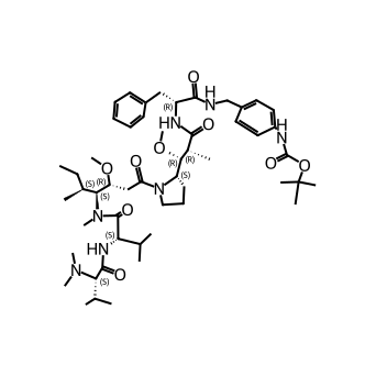 CC[C@H](C)[C@@H]([C@@H](CC(=O)N1CCC[C@H]1[C@H](OC)[C@@H](C)C(=O)N[C@H](Cc1ccccc1)C(=O)NCc1ccc(NC(=O)OC(C)(C)C)cc1)OC)N(C)C(=O)[C@@H](NC(=O)[C@H](C(C)C)N(C)C)C(C)C